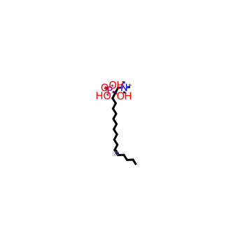 CCCC/C=C\CCCCCCCCCCC(O)(C[N+](C)(C)C)P(=O)(O)O